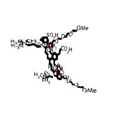 COCCOCCOCCOCc1cn(Cc2cc(CCC(=O)O)cc(Cn3cc(COCCOCCOCCOC)nn3)c2C(=C\C=C\C2=[N+](CCC[N+](C)(C)C)c3ccc(S(=O)(=O)O)cc3C2(C)C)/C=C/C=C2/N(CCC[N+](C)(C)C)c3ccc(C)cc3C2(C)C)nn1